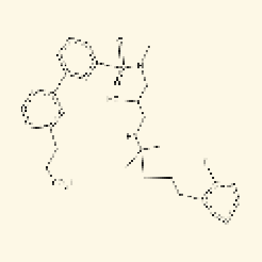 CN(CC(O)CNC(C)(C)CCCc1ccccc1F)S(=O)(=O)c1cccc(-c2cccc(CCC(=O)O)c2)c1